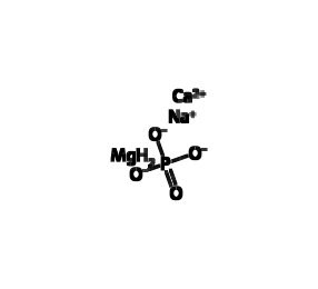 O=P([O-])([O-])[O-].[Ca+2].[MgH2].[Na+]